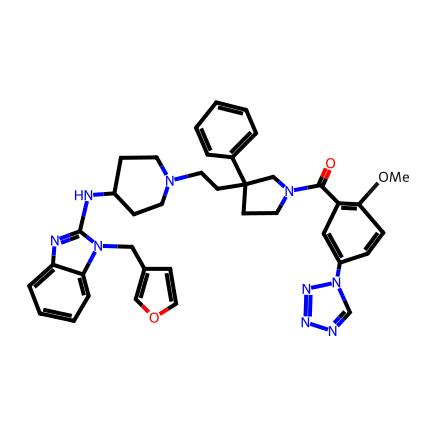 COc1ccc(-n2cnnn2)cc1C(=O)N1CCC(CCN2CCC(Nc3nc4ccccc4n3Cc3ccoc3)CC2)(c2ccccc2)C1